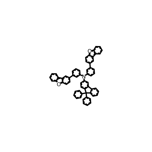 c1ccc(C2(c3ccccc3)c3ccccc3-c3cc(N(c4cccc(-c5ccc6oc7ccccc7c6c5)c4)c4cccc(-c5ccc6oc7ccccc7c6c5)c4)ccc32)cc1